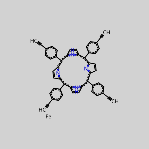 C#Cc1ccc(-c2c3nc(c(-c4ccc(C#C)cc4)c4ccc([nH]4)c(-c4ccc(C#C)cc4)c4nc(c(-c5ccc(C#C)cc5)c5ccc2[nH]5)C=C4)C=C3)cc1.[Fe]